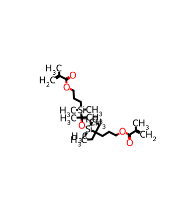 C=C(C)C(=O)OCCCC(CC)(CC)[Si](C)(C)OC(C)(C)[Si](C)(C)CCCOC(=O)C(=C)C